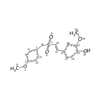 COc1ccc(CS(=O)(=O)C=Cc2ccc(O)c(OC)c2)cc1